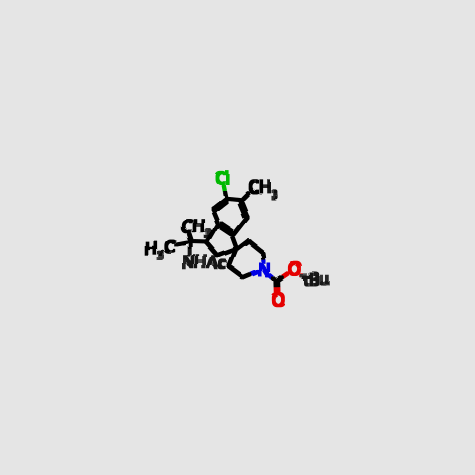 CC(=O)NC(C)(C)C1CC2(CCN(C(=O)OC(C)(C)C)CC2)c2cc(C)c(Cl)cc21